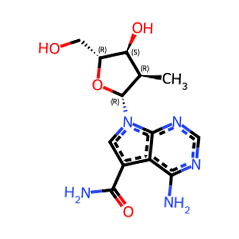 C[C@@H]1[C@H](O)[C@@H](CO)O[C@H]1n1cc(C(N)=O)c2c(N)ncnc21